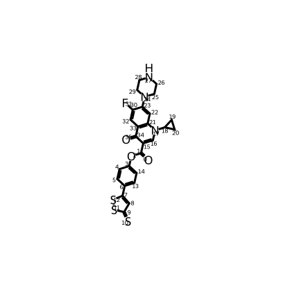 O=C(Oc1ccc(-c2cc(=S)ss2)cc1)c1cn(C2CC2)c2cc(N3CCNCC3)c(F)cc2c1=O